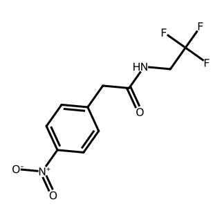 O=C(Cc1ccc([N+](=O)[O-])cc1)NCC(F)(F)F